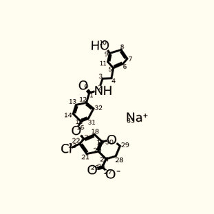 O=C(NCCc1cccc(O)c1)c1ccc(Oc2cc3c(cc2Cl)C(C(=O)[O-])CCO3)cc1.[Na+]